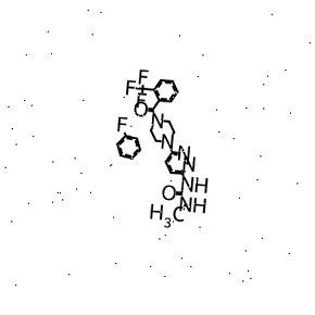 CNC(=O)Nc1ccc(N2CCN(C(=O)c3ccccc3C(F)(F)F)CC2)nn1.Fc1ccccc1